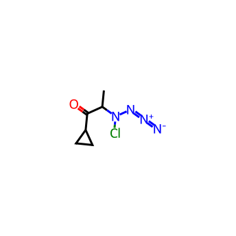 CC(C(=O)C1CC1)N(Cl)N=[N+]=[N-]